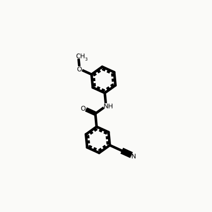 COc1cccc(NC(=O)c2cccc(C#N)c2)c1